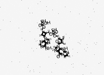 C[C@@H]1[C@H](F)[C@@H](COP(=O)(S)OC[C@@H]2[C@@H](COP(=O)(O)S)C[C@H]2n2cnc3c(N)ncnc32)O[C@H]1n1cnc2c(=O)n3ccnc3[nH]c21